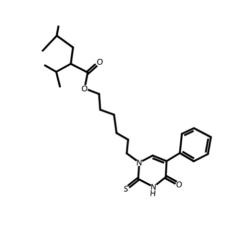 CC(C)CC(C(=O)OCCCCCCn1cc(-c2ccccc2)c(=O)[nH]c1=S)C(C)C